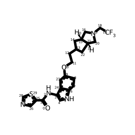 O=C(Nc1c[nH]c2ccc(OCCC3C[C@@H]4CN(CC(F)(F)F)C[C@@H]4C3)cc12)c1cncs1